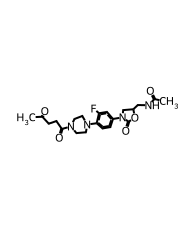 CC(=O)CCC(=O)N1CCN(c2ccc(N3CC(CNC(C)=O)OC3=O)cc2F)CC1